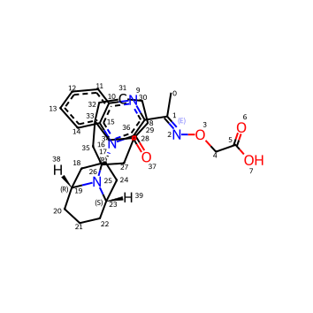 C/C(=N\OCC(=O)O)c1nc2ccccc2n([C@H]2C[C@H]3CCC[C@@H](C2)N3C2CC3CCCCC(C3)C2)c1=O